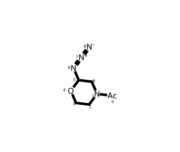 CC(=O)N1CCOC(N=[N+]=[N-])C1